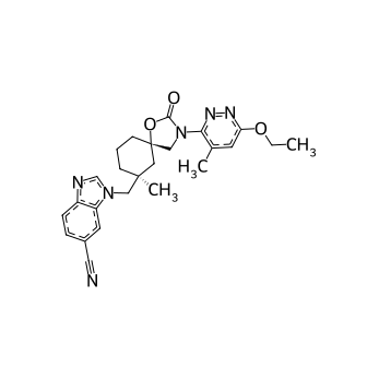 CCOc1cc(C)c(N2C[C@@]3(CCC[C@](C)(Cn4cnc5ccc(C#N)cc54)C3)OC2=O)nn1